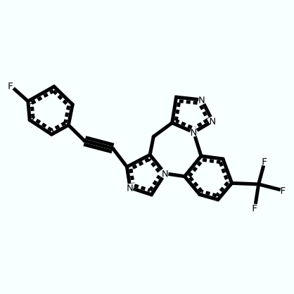 Fc1ccc(C#Cc2ncn3c2Cc2cnnn2-c2cc(C(F)(F)F)ccc2-3)cc1